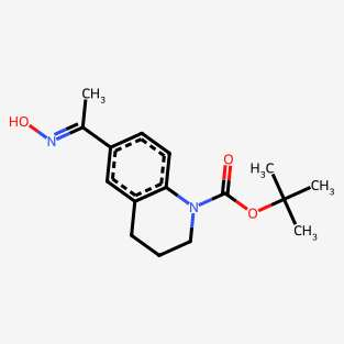 CC(=NO)c1ccc2c(c1)CCCN2C(=O)OC(C)(C)C